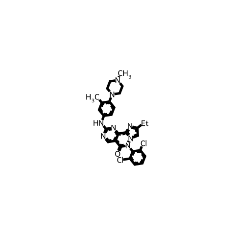 CCc1cn2c(n1)c1nc(Nc3ccc(N4CCN(C)CC4)c(C)c3)ncc1c(=O)n2-c1c(Cl)cccc1Cl